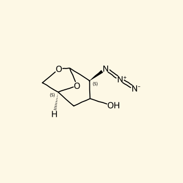 [N-]=[N+]=N[C@H]1C(O)C[C@H]2COC1O2